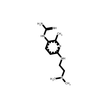 Cc1nc(NCCN(C)C)ccc1NC(=N)N